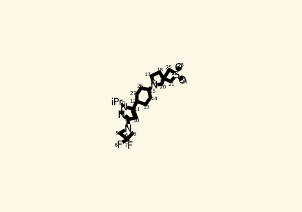 CC(C)n1nc(N2CC(F)(F)C2)cc1C1CCC(N2CCC3(C2)CS(=O)(=O)C3)CC1